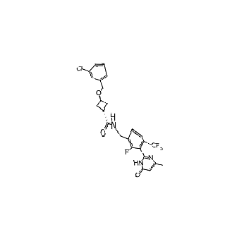 Cc1cc(=O)[nH]c(-c2c(C(F)(F)F)ccc(CNC(=O)[C@H]3C[C@H](OCc4cccc(Cl)c4)C3)c2F)n1